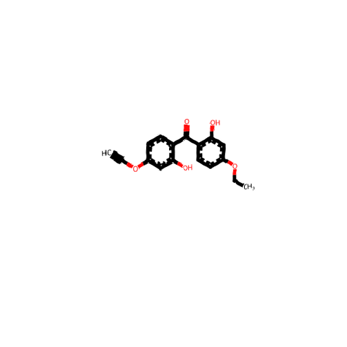 C#COc1ccc(C(=O)c2ccc(OCC)cc2O)c(O)c1